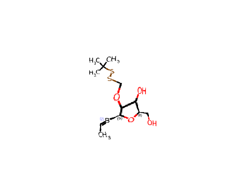 C/C=B\[C@@H]1O[C@H](CO)C(O)C1OCSSC(C)(C)C